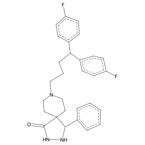 O=C1NNC(c2ccccc2)C12CCN(CCCC(c1ccc(F)cc1)c1ccc(F)cc1)CC2